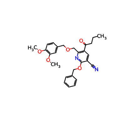 CCCC(=O)c1cc(C#N)c(OCc2ccccc2)nc1COCc1ccc(OC)c(OC)c1